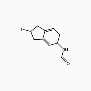 O=CNC1C=C2CC(F)CC2=CC1